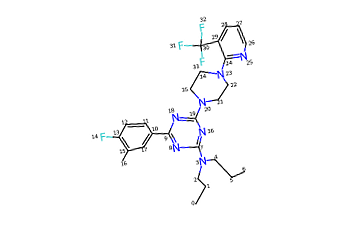 CCCN(CCC)c1nc(-c2ccc(F)c(C)c2)nc(N2CCN(c3ncccc3C(F)(F)F)CC2)n1